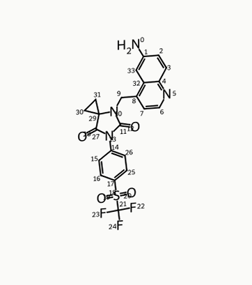 Nc1ccc2nccc(CN3C(=O)N(c4ccc(S(=O)(=O)C(F)(F)F)cc4)C(=O)C34CC4)c2c1